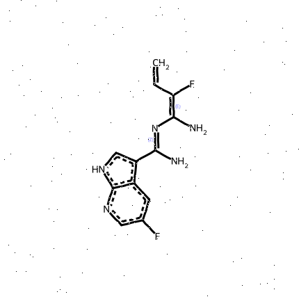 C=C/C(F)=C(N)\N=C(/N)c1c[nH]c2ncc(F)cc12